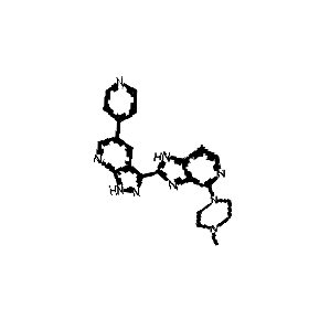 CN1CCN(c2nccc3[nH]c(-c4n[nH]c5ncc(-c6ccncc6)cc45)nc23)CC1